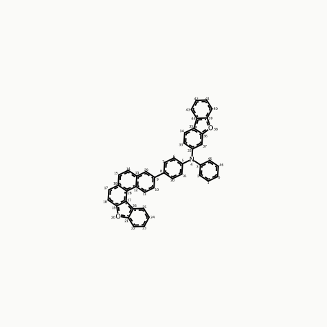 c1ccc(N(c2ccc(-c3ccc4c(ccc5ccc6oc7ccccc7c6c54)c3)cc2)c2ccc3c(c2)oc2ccccc23)cc1